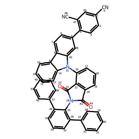 N#Cc1ccc(-c2ccc3c4ccccc4n(-c4cccc5c4C(=O)N(c4c(-c6ccccc6)cccc4-c4ccccc4)C5=O)c3c2)c(C#N)c1